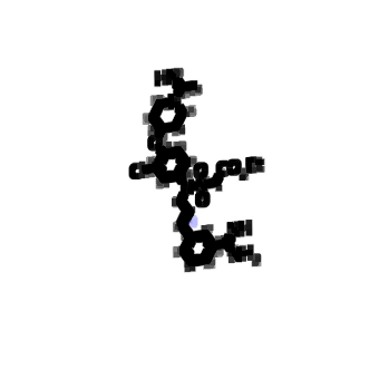 CCOC(=O)CS(=O)(=O)N(C/C=C/c1cccc(C(=N)N)c1)c1ccc(OC2CCN(C(C)=N)CC2)c(Cl)c1